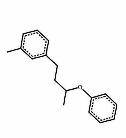 Cc1cccc(CCC(C)Oc2ccccc2)c1